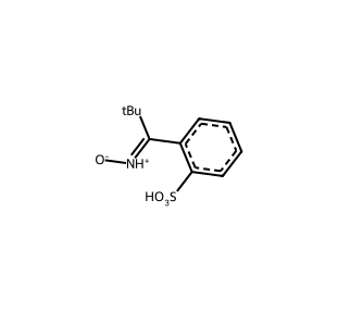 CC(C)(C)C(=[NH+][O-])c1ccccc1S(=O)(=O)O